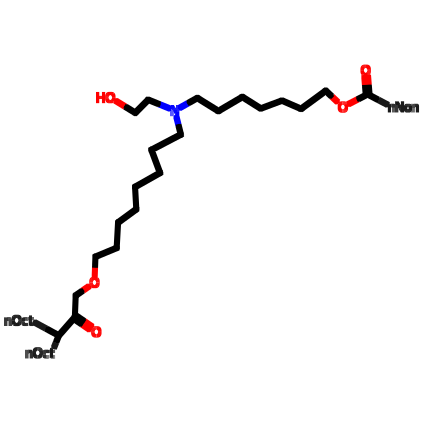 CCCCCCCCCC(=O)OCCCCCCCN(CCO)CCCCCCCCOCC(=O)C(CCCCCCCC)CCCCCCCC